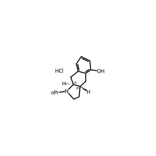 CCCN1CC[C@H]2Cc3c(O)cccc3C[C@@H]21.Cl